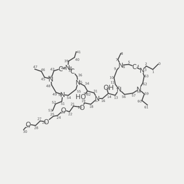 CCCN1CCN(CC)CCCN(CC(O)CN(CCOCCOCCOCCOC)CC(O)CN2CCN(CCC)CCN(CCC)CCN(CCC)CC2)CCN(CCC)CC1